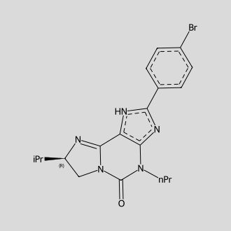 CCCN1C(=O)N2C[C@@H](C(C)C)N=C2c2[nH]c(-c3ccc(Br)cc3)nc21